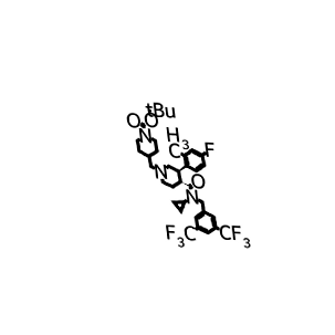 Cc1cc(F)ccc1[C@@H]1CN(CC2CCN(C(=O)OC(C)(C)C)CC2)CC[C@H]1C(=O)N(Cc1cc(C(F)(F)F)cc(C(F)(F)F)c1)C1CC1